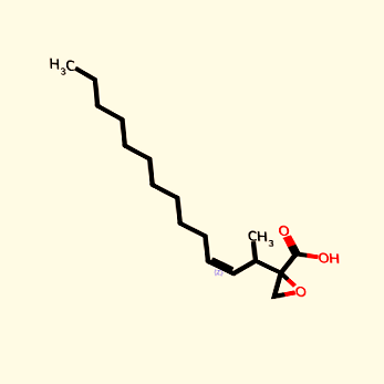 CCCCCCCCCC/C=C\C(C)C1(C(=O)O)CO1